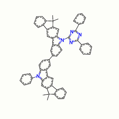 CC1(C)c2ccccc2-c2cc3c4cc(-c5ccc6c(c5)c5cc7c(cc5n6-c5nc(-c6ccccc6)nc(-c6ccccc6)n5)C(C)(C)c5ccccc5-7)ccc4n(-c4ccccc4)c3cc21